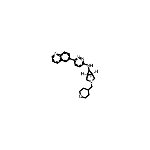 c1cnc2ccc(-c3ccc(NC4[C@H]5CN(CC6CCOCC6)C[C@@H]45)nn3)cc2c1